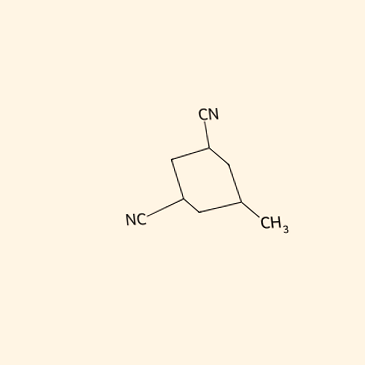 CC1CC(C#N)CC(C#N)C1